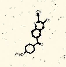 C#Cc1nc2ccc(C(=O)C3CCC(OC)CC3)cc2cc1CC